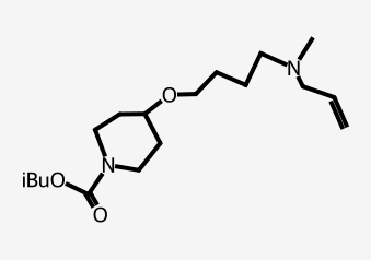 C=CCN(C)CCCCOC1CCN(C(=O)OCC(C)C)CC1